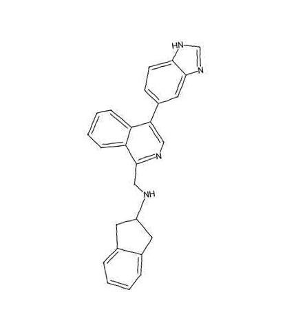 c1ccc2c(c1)CC(NCc1ncc(-c3ccc4[nH]cnc4c3)c3ccccc13)C2